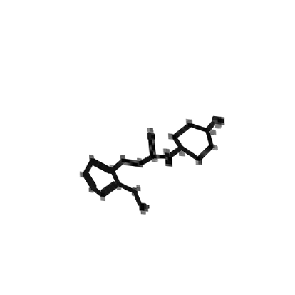 CC(C)Sc1ccccc1/C=C/C(=O)NC1CCC(O)CC1